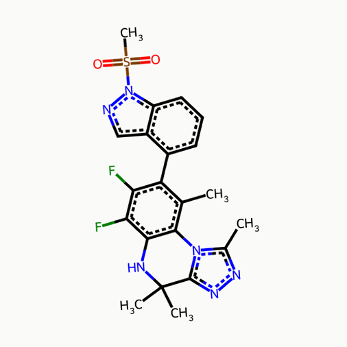 Cc1c(-c2cccc3c2cnn3S(C)(=O)=O)c(F)c(F)c2c1-n1c(C)nnc1C(C)(C)N2